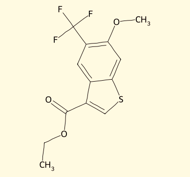 CCOC(=O)c1csc2cc(OC)c(C(F)(F)F)cc12